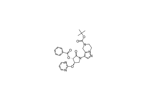 CC(C)(C)OC(=O)N1CCn2ncc(N3C[C@@H](Oc4ncccn4)[C@H](OC(=O)c4ccccc4)C3=O)c2C1